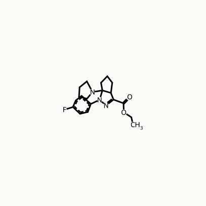 CCOC(=O)C1=NN(c2ccc(F)cc2)C2(N3CCCC3)CCCC12